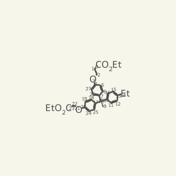 CCOC(=O)CCOc1ccc([C@](C)(c2ccc(CC)cc2)c2ccc(OCC(=O)OCC)cc2)cc1